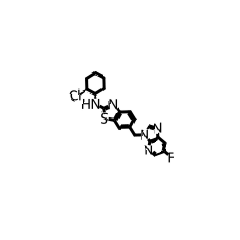 Fc1cnc2c(c1)ncn2Cc1ccc2nc(N[C@@H]3CCCC[C@@H]3Cl)sc2c1